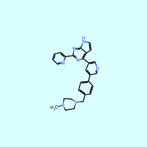 CN1CCN(Cc2ccc(-c3cncc(-c4nc(-c5ccccn5)nc5[nH]ccc45)c3)cc2)CC1